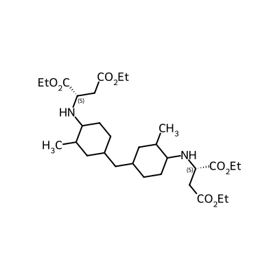 CCOC(=O)C[C@H](NC1CCC(CC2CCC(N[C@@H](CC(=O)OCC)C(=O)OCC)C(C)C2)CC1C)C(=O)OCC